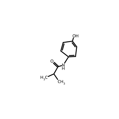 CC(C)C(=O)Nc1ccc(O)cc1